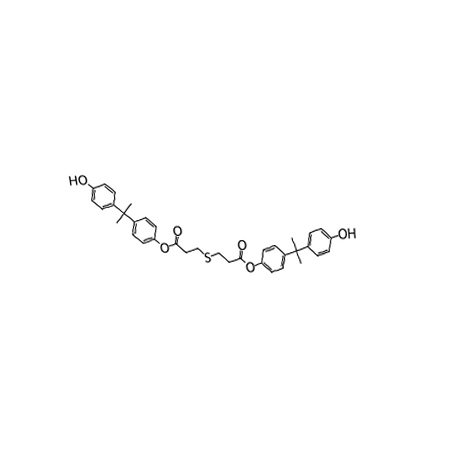 CC(C)(c1ccc(O)cc1)c1ccc(OC(=O)CCSCCC(=O)Oc2ccc(C(C)(C)c3ccc(O)cc3)cc2)cc1